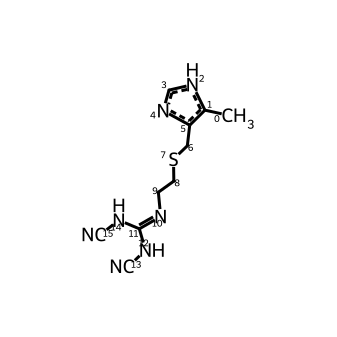 Cc1[nH]cnc1CSCCN=C(NC#N)NC#N